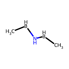 CBNBC